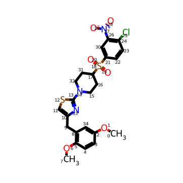 COc1ccc(OC)c(Cc2csc(N3CCC(S(=O)(=O)c4ccc(Cl)c([N+](=O)[O-])c4)CC3)n2)c1